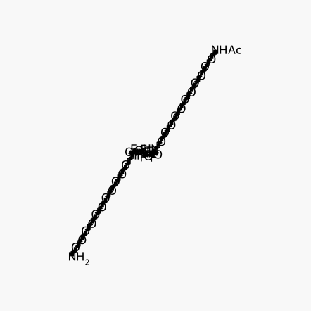 CC(=O)NCCOCCOCCOCCOCCOCCOCCOCCOCCOCCOCCOCCNC(=O)C(F)(F)OC(F)(F)C(F)(F)OC(F)(F)C(=O)CCCOCCOCCOCCOCCOCCOCCOCCOCCOCCOCCOCCN